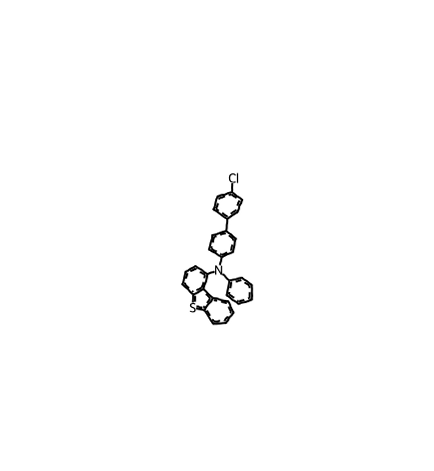 Clc1ccc(-c2ccc(N(c3ccccc3)c3cccc4sc5ccccc5c34)cc2)cc1